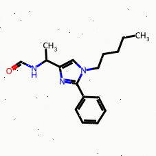 CCCCCn1cc(C(C)NC=O)nc1-c1ccccc1